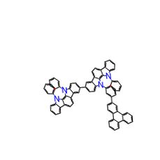 c1ccc(-n2c3ccccc3c3ccc4c5cc(-c6ccc7c(c6)c6ccc8c9ccccc9n(-c9ccccc9)c8c6n7-c6cccc(-c7ccc8c9ccccc9c9ccccc9c8c7)c6)ccc5n(-c5ccccc5)c4c32)cc1